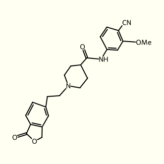 COc1cc(NC(=O)C2CCN(CCc3ccc4c(c3)COC4=O)CC2)ccc1C#N